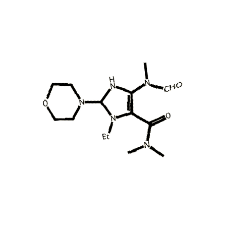 CCN1C(C(=O)N(C)C)=C(N(C)C=O)NC1N1CCOCC1